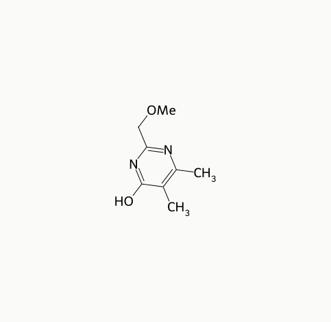 COCc1nc(C)c(C)c(O)n1